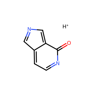 O=C1N=CC=C2C=NC=C12.[H+]